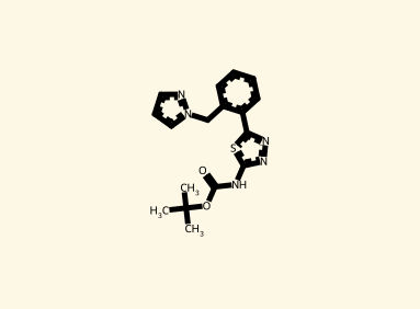 CC(C)(C)OC(=O)Nc1nnc(-c2ccccc2Cn2cccn2)s1